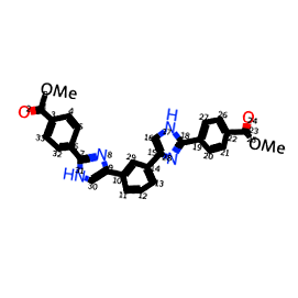 COC(=O)c1ccc(-c2nc(-c3cccc(-c4c[nH]c(-c5ccc(C(=O)OC)cc5)n4)c3)c[nH]2)cc1